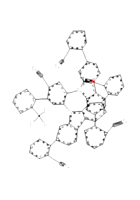 N#Cc1ccccc1-c1ccc2c3ccc(-c4ccccc4C#N)cc3n(-c3cc(C#N)c(-c4ccccc4C(F)(F)F)cc3-n3c4cc(-c5ccccc5C#N)ccc4c4ccc(-c5ccccc5C#N)cc43)c2c1